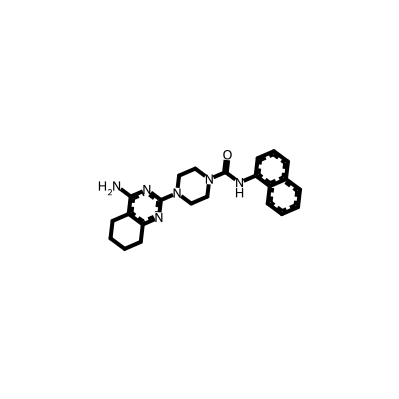 Nc1nc(N2CCN(C(=O)Nc3cccc4ccccc34)CC2)nc2c1CCCC2